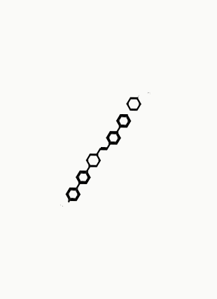 CCCCC[C@H]1CC[C@H](c2ccc(-c3ccc(C=CC4CCC(c5ccc(-c6ccc(C#N)cc6)cc5)CC4)cc3)cc2)CC1